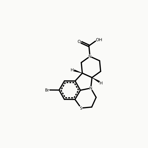 O=C(O)N1CC[C@H]2[C@@H](C1)c1cc(Br)cc3c1N2CCS3